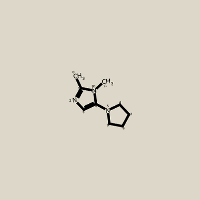 Cc1ncc(N2CCCC2)n1C